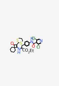 CCOC(=O)[C@H](Cc1ccc(NC(=O)c2c(Cl)cncc2Cl)cc1)NC1=C(C2SCCCS2)C(=O)C12CCCCC2